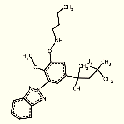 CCCCNOc1cc(C(C)(C)CC(C)(C)C)cc(-n2nc3ccccc3n2)c1OC